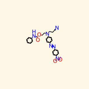 N#CCCN(CCOC(=O)Nc1ccccc1)c1ccc(/N=N/c2ccc([N+](=O)[O-])cc2)cc1